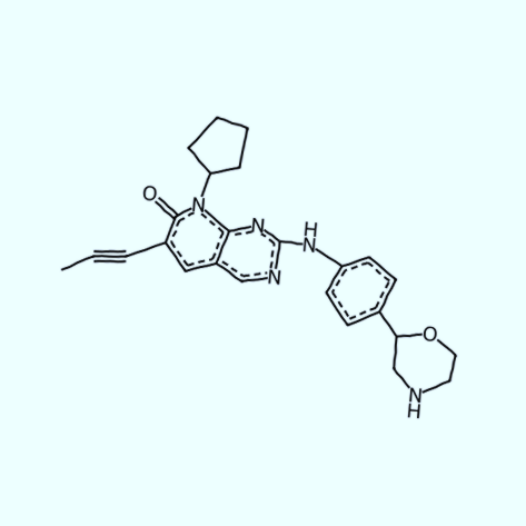 CC#Cc1cc2cnc(Nc3ccc(C4CNCCO4)cc3)nc2n(C2CCCC2)c1=O